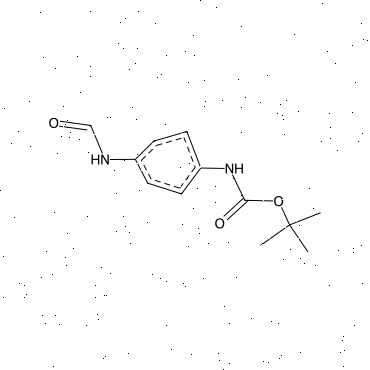 CC(C)(C)OC(=O)Nc1ccc(NC=O)cc1